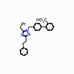 CC(C)Cc1nc(CCc2ccccc2)nn1Cc1ccc(-c2ccccc2C(=O)O)cc1